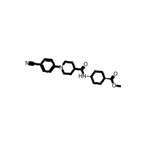 COC(=O)[C@H]1CC[C@H](NC(=O)C2CCN(c3ccc(C#N)cc3)CC2)CC1